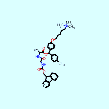 Cc1ccc(C(OC(=O)C(NC(=O)CNC(=O)OCC2c3ccccc3-c3ccccc32)C(C)C)c2ccc(OCCCCC[N+](C)(C)C)cc2)cc1